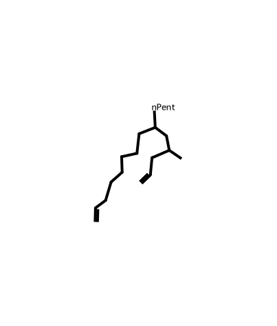 C=CCCCCCCC(CCCCC)CC(C)CC=C